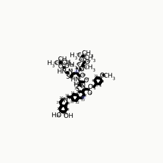 COc1ccc(COC(=O)C2=C(/C=C\c3ccc(C[n+]4ccc5cc(O)c(O)cc5c4)cc3)CS[C@@H]3[C@H](NC(=O)/C(=N\OC(C)(C)C(=O)OC(C)(C)C)c4csc(NC(=O)OC(C)(C)C)n4)C(=O)N23)cc1